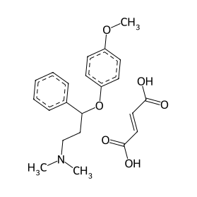 COc1ccc(OC(CCN(C)C)c2ccccc2)cc1.O=C(O)C=CC(=O)O